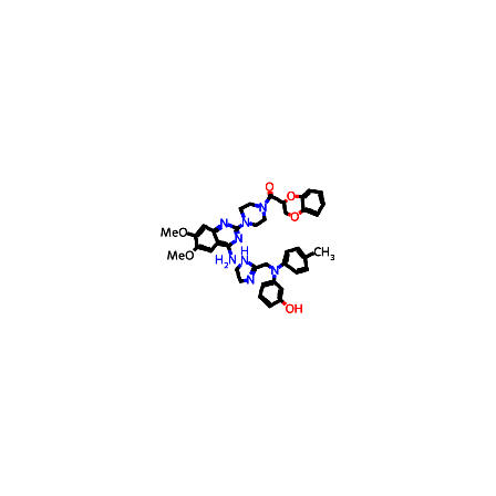 COc1cc2nc(N3CCN(C(=O)C4COc5ccccc5O4)CC3)nc(N)c2cc1OC.Cc1ccc(N(CC2=NCCN2)c2cccc(O)c2)cc1